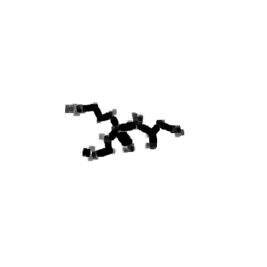 CCCSP(=S)(NC(=O)OC)OCC